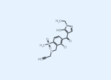 C#CCOCc1c(S(C)(=O)=O)ccc(C(=O)c2cnn(CC)c2O)c1Cl